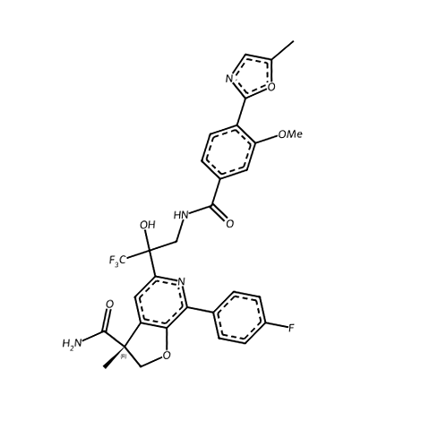 COc1cc(C(=O)NCC(O)(c2cc3c(c(-c4ccc(F)cc4)n2)OC[C@]3(C)C(N)=O)C(F)(F)F)ccc1-c1ncc(C)o1